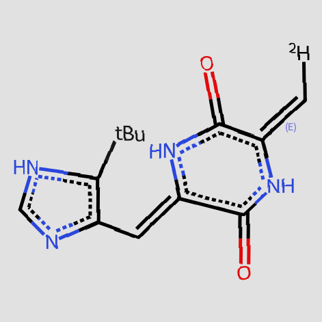 [2H]/C=c1/[nH]c(=O)c(=Cc2nc[nH]c2C(C)(C)C)[nH]c1=O